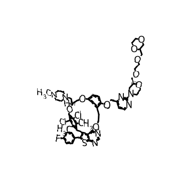 Cc1c(Cl)c2c(Cl)c(C)c1-c1c(-c3ccc(F)cc3)sc3ncnc(c13)OCCc1cc(ccc1OCc1ccnc(N3CCO[C@H](COCCOCC4COCCO4)C3)n1)OC[C@@H](CN1CCN(C)CC1)O2